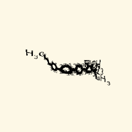 CCCCCC1CCC(C2CCC(C3CCC(c4ccc(C(=O)CC)c(C)c4F)CC3)CC2)CC1